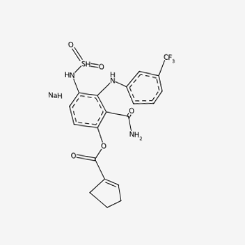 NC(=O)c1c(OC(=O)C2=CCCC2)ccc(N[SH](=O)=O)c1Nc1cccc(C(F)(F)F)c1.[NaH]